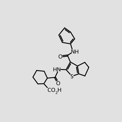 O=C(Nc1ccccc1)c1c(NC(=O)C2CCCCC2C(=O)O)sc2c1CCC2